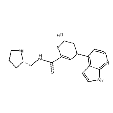 Cl.O=C(NC[C@@H]1CCCN1)C1=CN(c2ccnc3[nH]ccc23)CCS1